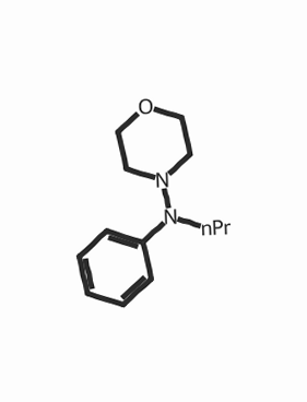 CCCN(c1ccccc1)N1CCOCC1